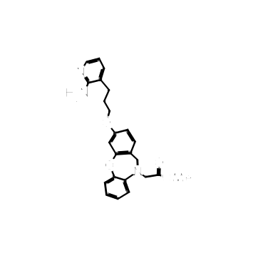 COC(=O)CN1Cc2ccc(OCCCc3cccnc3N)cc2Oc2ccccc21